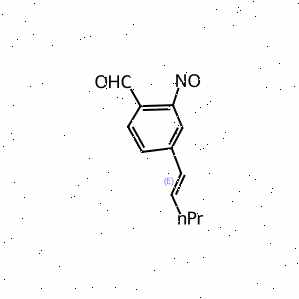 CCC/C=C/c1ccc(C=O)c(N=O)c1